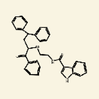 O=C(NCCNC(CC(c1ccccc1)c1ccccc1)C(=O)c1ccccc1)c1c[nH]c2ccccc12